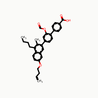 C=CCCOc1ccc2c(CCCC)c(C)c(-c3ccc(-c4ccc(C(=O)O)cc4)c(OC=O)c3)cc2c1